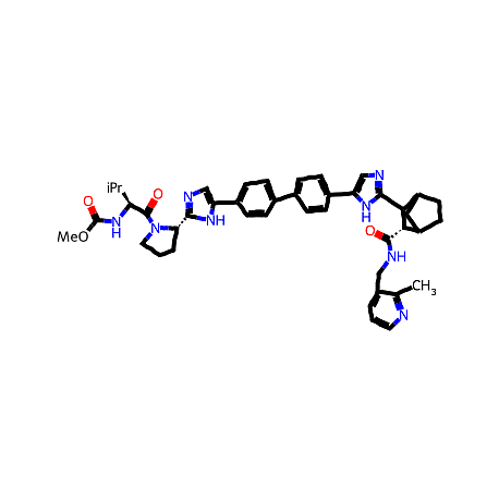 COC(=O)N[C@H](C(=O)N1CCC[C@H]1c1ncc(-c2ccc(-c3ccc(-c4cnc(C5C6CCC(C6)[C@@H]5C(=O)NCc5cccnc5C)[nH]4)cc3)cc2)[nH]1)C(C)C